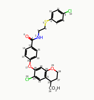 O=C(NCCSc1ccc(Cl)cc1)c1ccc(Oc2cc3c(cc2Cl)C(C(=O)O)CCO3)cc1